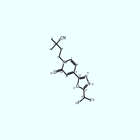 CC(C)(C#N)CCn1ccc(-c2nnc(C(F)F)o2)cc1=O